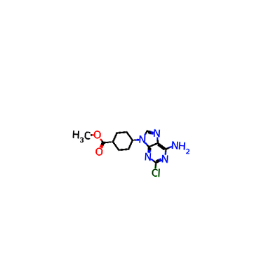 COC(=O)[C@H]1CC[C@@H](n2cnc3c(N)nc(Cl)nc32)CC1